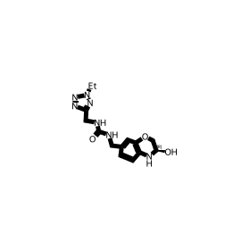 CCn1nnc(CNC(=O)NCc2ccc3c(c2)OC[C@@H](O)N3)n1